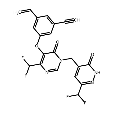 C#Cc1cc(C=C)cc(Oc2c(C(F)F)ncn(Cc3cc(C(F)F)n[nH]c3=O)c2=O)c1